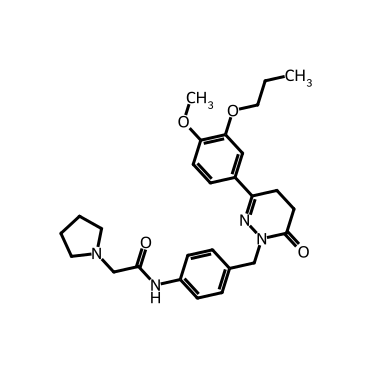 CCCOc1cc(C2=NN(Cc3ccc(NC(=O)CN4CCCC4)cc3)C(=O)CC2)ccc1OC